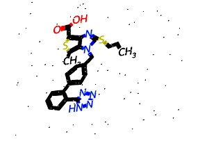 CCCSc1nc2c(C(=O)O)sc(C)c2n1Cc1ccc(-c2ccccc2-c2nnn[nH]2)cc1